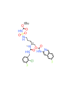 CN(C(=O)NCc1cccc(F)c1Cl)[C@@H](CCCNS(=O)(=O)NC(=O)OC(C)(C)C)COC(=O)Nc1cc2cc(F)ccc2cn1